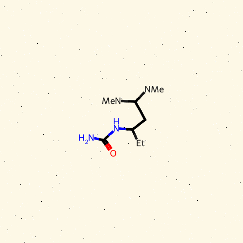 CCC(CC(NC)NC)NC(N)=O